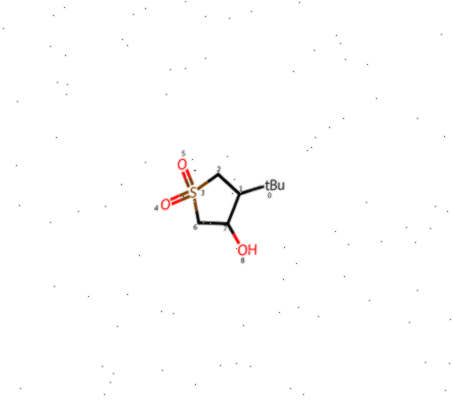 CC(C)(C)C1CS(=O)(=O)CC1O